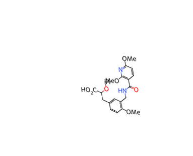 COc1ccc(C(=O)NCc2cc(CC(OC(C)C)C(=O)O)ccc2OC)c(OC)n1